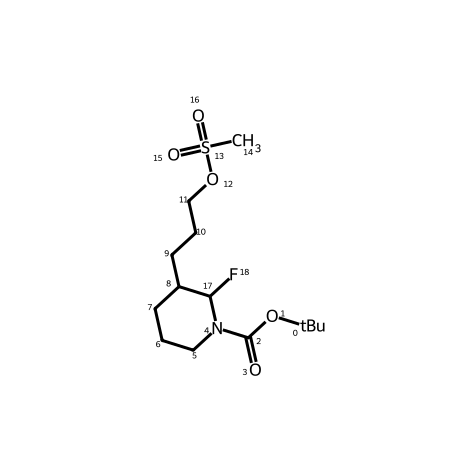 CC(C)(C)OC(=O)N1CCCC(CCCOS(C)(=O)=O)C1F